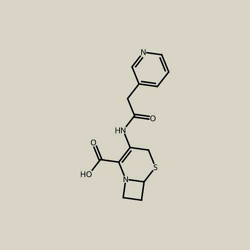 O=C(Cc1cccnc1)NC1=C(C(=O)O)N2CCC2SC1